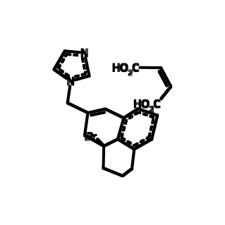 CC(C)C12CCCc3cccc(c31)C=C(Cn1ccnc1)C2.O=C(O)/C=C\C(=O)O